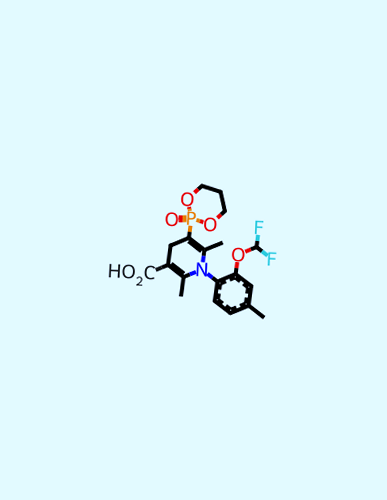 CC1=C(C(=O)O)CC(P2(=O)OCCCO2)=C(C)N1c1ccc(C)cc1OC(F)F